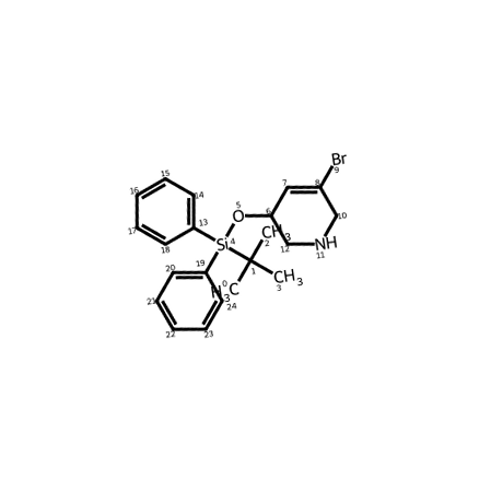 CC(C)(C)[Si](OC1C=C(Br)CNC1)(c1ccccc1)c1ccccc1